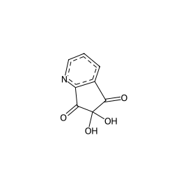 O=C1c2cccnc2C(=O)C1(O)O